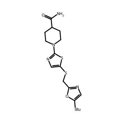 CC(C)(C)c1cnc(CSc2cnc(N3CCC(C(N)=O)CC3)s2)o1